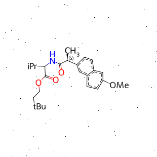 COc1ccc2cc([C@H](C)C(=O)NC(C(=O)OCCC(C)(C)C)C(C)C)ccc2c1